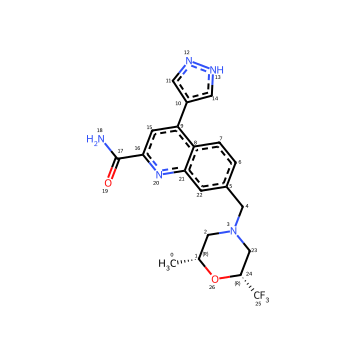 C[C@@H]1CN(Cc2ccc3c(-c4cn[nH]c4)cc(C(N)=O)nc3c2)C[C@H](C(F)(F)F)O1